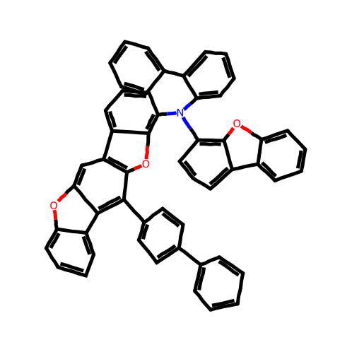 c1ccc(-c2ccc(-c3c4oc5c(N(c6ccccc6-c6ccccc6)c6cccc7c6oc6ccccc67)cccc5c4cc4oc5ccccc5c34)cc2)cc1